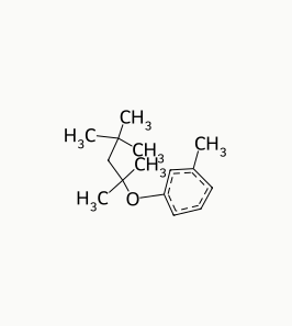 Cc1cccc(OC(C)(C)CC(C)(C)C)c1